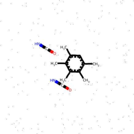 Cc1cc(C)c(C)c(C)c1C.N=C=O.N=C=O